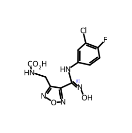 O=C(O)NCc1nonc1/C(=N\O)Nc1ccc(F)c(Cl)c1